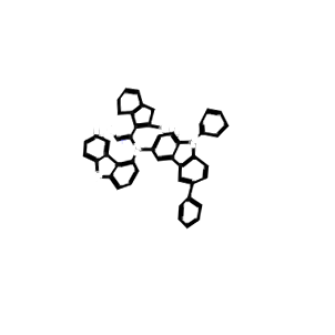 C/C=C(\C1=C(C)CC2=C1CCC=C2)N(c1ccc2c(c1)c1cc(-c3ccccc3)ccc1n2-c1ccccc1)c1cccc2sc3ccccc3c12